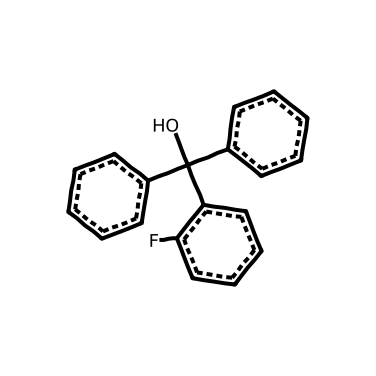 OC(c1ccccc1)(c1ccccc1)c1ccccc1F